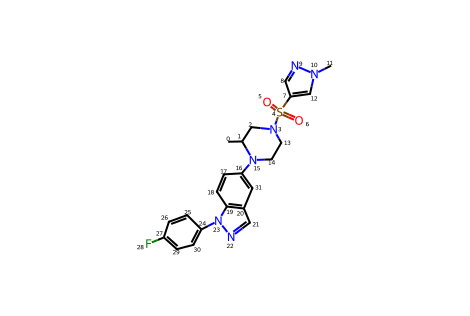 CC1CN(S(=O)(=O)c2cnn(C)c2)CCN1c1ccc2c(cnn2-c2ccc(F)cc2)c1